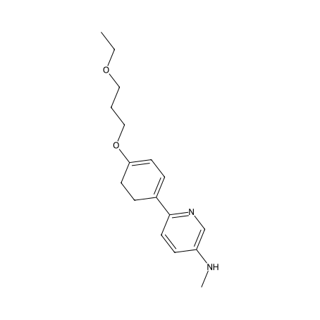 CCOCCCOC1=CC=C(c2ccc(NC)cn2)CC1